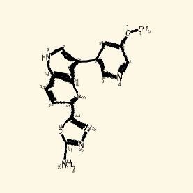 COc1cncc(-c2c[nH]c3ccc(-c4nnc(N)o4)nc23)c1